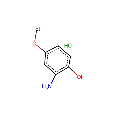 CCOc1ccc(O)c(N)c1.Cl